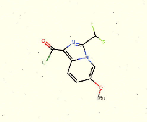 CCCCOc1ccc2c(C(=O)Cl)nc(C(F)F)n2c1